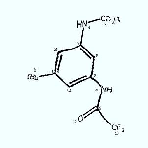 CC(C)(C)c1cc(NC(=O)O)cc(NC(=O)C(F)(F)F)c1